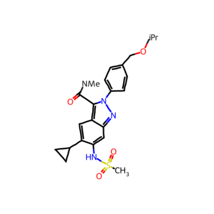 CNC(=O)c1c2cc(C3CC3)c(NS(C)(=O)=O)cc2nn1-c1ccc(COC(C)C)cc1